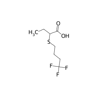 CCC(SCCCC(F)(F)F)C(=O)O